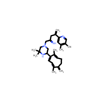 C=C1CC/C=C(C)/C(C2CN(CC(=N)CC(=C)c3cc(C)c(C#N)cn3)CC(C)(C)N2)=C\C=C\1C